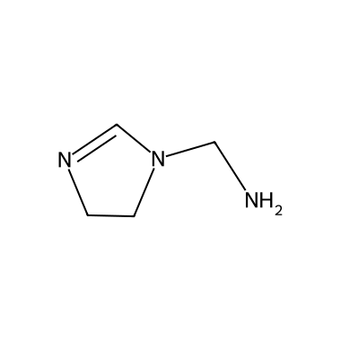 NCN1C=NCC1